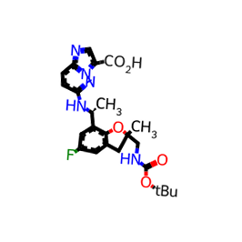 C[C@@H](Nc1ccc2ncc(C(=O)O)n2n1)c1cc(F)cc2c1OC(C)(CNC(=O)OC(C)(C)C)C2